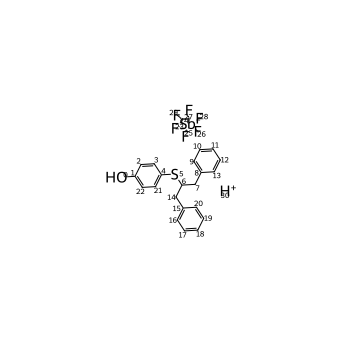 Oc1ccc(SC(Cc2ccccc2)Cc2ccccc2)cc1.[F][Sb-]([F])([F])([F])([F])[F].[H+]